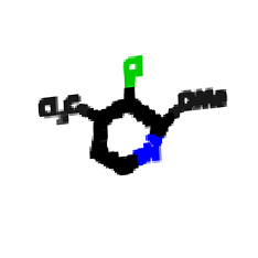 COc1nccc(C(Cl)(Cl)Cl)c1Cl